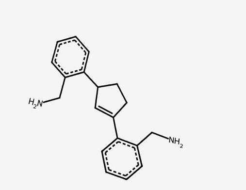 NCc1ccccc1C1=CC(c2ccccc2CN)CC1